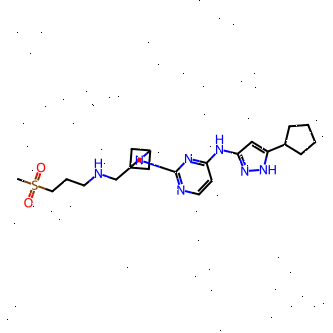 CS(=O)(=O)CCCNCC12CC(C1)N(c1nccc(Nc3cc(C4CCCC4)[nH]n3)n1)C2